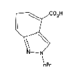 CCCn1cc2c(C(=O)O)cccc2n1